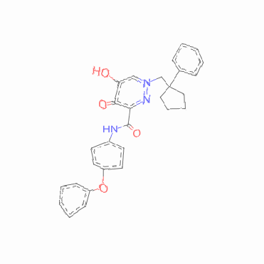 O=C(Nc1ccc(Oc2ccccc2)cc1)c1nn(CC2(c3ccccc3)CCCC2)cc(O)c1=O